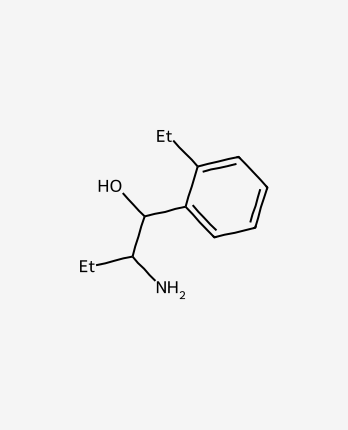 CCc1ccccc1C(O)C(N)CC